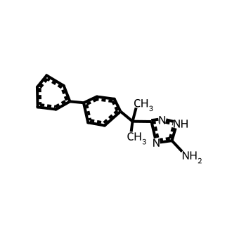 CC(C)(c1ccc(-c2ccccc2)cc1)c1n[nH]c(N)n1